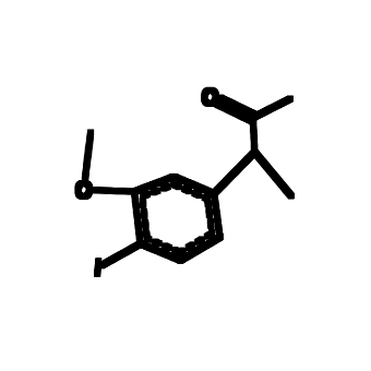 COc1cc(C(C)C(C)=O)ccc1I